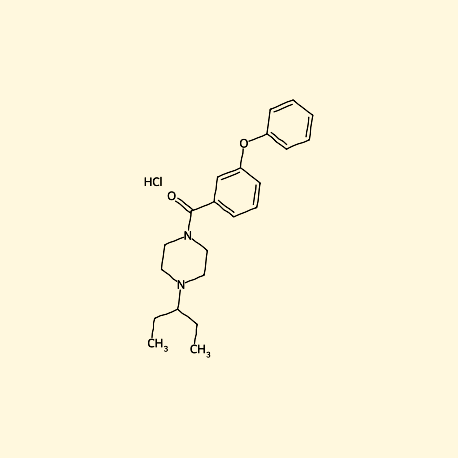 CCC(CC)N1CCN(C(=O)c2cccc(Oc3ccccc3)c2)CC1.Cl